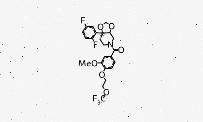 COc1cc(C(=O)N2CC[C@]3(c4cc(F)ccc4F)OCOC3C2)ccc1OCCOC(F)(F)F